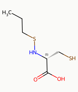 CCCSN[C@H](CS)C(=O)O